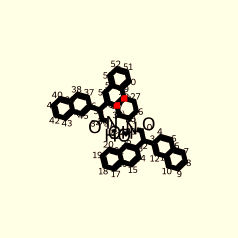 O=C(C(c1ccc2ccccc2c1)c1ccc2ccccc2c1)N(O)[C@@H]1CCCC[C@H]1N(O)C(=O)C(c1ccc2ccccc2c1)c1ccc2ccccc2c1